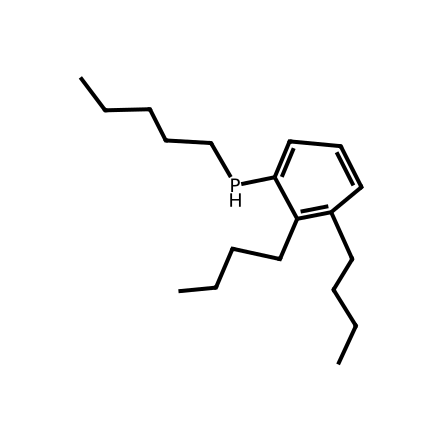 CCCCCPc1cccc(CCCC)c1CCCC